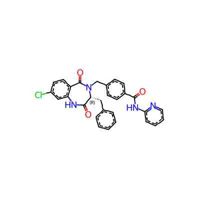 O=C(Nc1ccccn1)c1ccc(CN2C(=O)c3ccc(Cl)cc3NC(=O)[C@H]2Cc2ccccc2)cc1